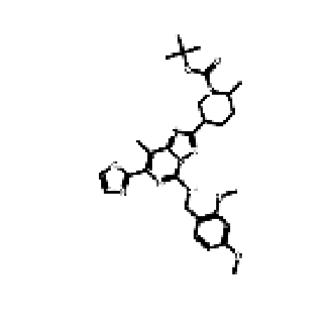 COc1ccc(CNc2nc(-c3ncco3)c(C)c3nc(C4CCC(C)N(C(=O)OC(C)(C)C)C4)nn23)c(OC)c1